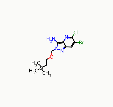 C[Si](C)(C)CCOCn1nc2cc(Br)c(Cl)nc2c1N